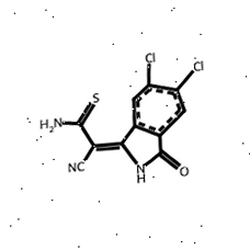 N#CC(C(N)=S)=C1NC(=O)c2cc(Cl)c(Cl)cc21